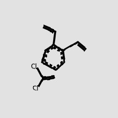 C=C(Cl)Cl.C=Cc1ccccc1C=C